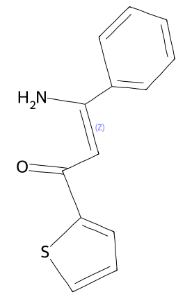 N/C(=C\C(=O)c1cccs1)c1ccccc1